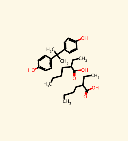 CC(C)(c1ccc(O)cc1)c1ccc(O)cc1.CCCCC(CC)C(=O)O.CCCCC(CC)C(=O)O